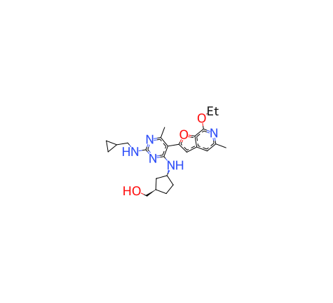 CCOc1nc(C)cc2cc(-c3c(C)nc(NCC4CC4)nc3N[C@H]3CC[C@@H](CO)C3)oc12